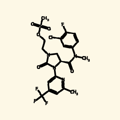 Cc1cc(C(F)(F)F)cc(N2C(=O)N(CCOS(C)(=O)=O)C[C@H]2C(=O)N(C)c2ccc(F)c(Cl)c2)n1